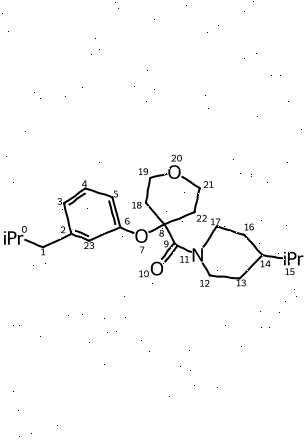 CC(C)Cc1cccc(OC2(C(=O)N3CCC(C(C)C)CC3)CCOCC2)c1